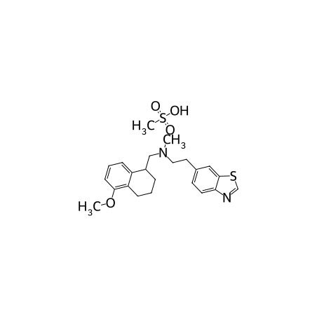 COc1cccc2c1CCCC2CN(C)CCc1ccc2ncsc2c1.CS(=O)(=O)O